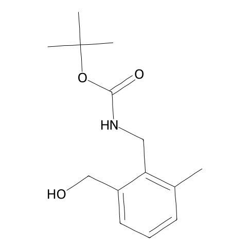 Cc1cccc(CO)c1CNC(=O)OC(C)(C)C